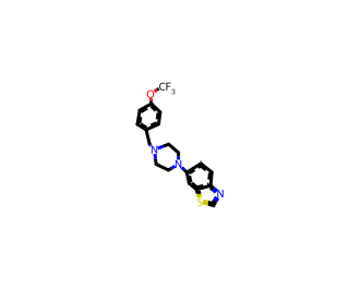 FC(F)(F)Oc1ccc(CN2CCN(c3[c]cc4ncsc4c3)CC2)cc1